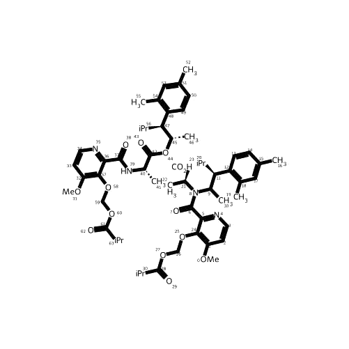 COc1ccnc(C(=O)N(C(C)[C@H](c2ccc(C)cc2C)C(C)C)[C@@H](C)C(=O)O)c1OCOC(=O)C(C)C.COc1ccnc(C(=O)N[C@@H](C)C(=O)O[C@@H](C)[C@H](c2ccc(C)cc2C)C(C)C)c1OCOC(=O)C(C)C